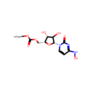 CCCCCCCOC(=O)OC[C@H]1O[C@@H](n2ccc(NO)nc2=O)C(O)[C@H]1O